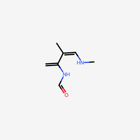 C=C(NC=O)/C(C)=C\NC